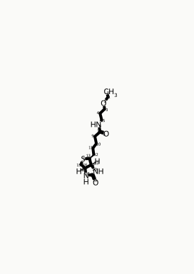 CCOCCCNC(=O)CCCC[C@@H]1SC[C@@H]2NC(=O)N[C@@H]21